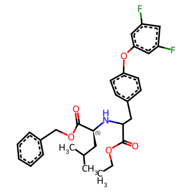 CCOC(=O)C(Cc1ccc(Oc2cc(F)cc(F)c2)cc1)N[C@@H](CC(C)C)C(=O)OCc1ccccc1